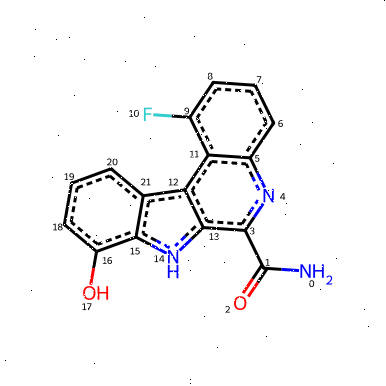 NC(=O)c1nc2cccc(F)c2c2c1[nH]c1c(O)cccc12